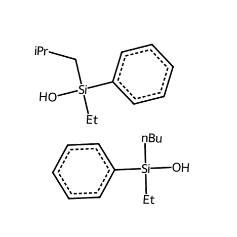 CCCC[Si](O)(CC)c1ccccc1.CC[Si](O)(CC(C)C)c1ccccc1